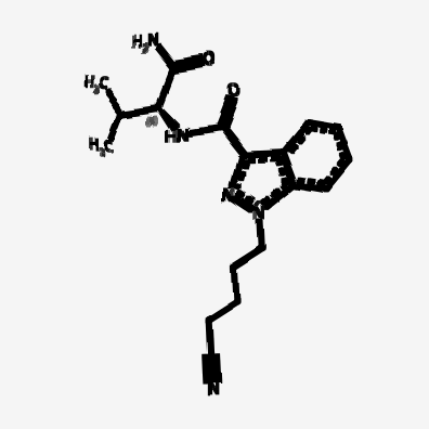 CC(C)[C@H](NC(=O)c1nn(CCCCC#N)c2ccccc12)C(N)=O